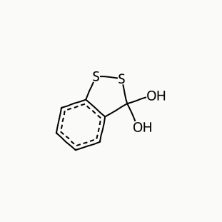 OC1(O)SSc2ccccc21